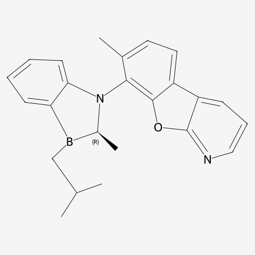 Cc1ccc2c(oc3ncccc32)c1N1c2ccccc2B(CC(C)C)[C@@H]1C